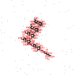 CCO.OC[C@@H](O)[C@@H](O)[C@H](O)[C@H](O)CO.OC[C@H]1O[C@@](CO)(O[C@H]2O[C@H](CO)[C@@H](O)[C@H](O)[C@H]2O)[C@@H](O)[C@@H]1O.OC[C@H]1O[C@@](CO)(O[C@H]2O[C@H](CO)[C@@H](O)[C@H](O)[C@H]2O)[C@@H](O)[C@@H]1O.OC[C@H]1O[C@@](CO)(O[C@H]2O[C@H](CO)[C@@H](O)[C@H](O)[C@H]2O)[C@@H](O)[C@@H]1O.OC[C@H]1O[C@H](O[C@H]2O[C@H](CO)[C@@H](O)[C@H](O)[C@H]2O)[C@H](O)[C@@H](O)[C@@H]1O.OC[C@H]1O[C@H](O[C@H]2O[C@H](CO)[C@@H](O)[C@H](O)[C@H]2O)[C@H](O)[C@@H](O)[C@@H]1O